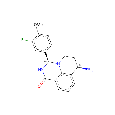 COc1ccc([C@@H]2NC(=O)c3cccc4c3N2CC[C@H]4N)cc1F